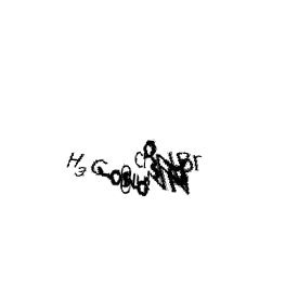 CCc1ccc(S(=O)(=O)NCc2cccc(CNc3cc(-c4ccccc4Cl)nc4c(Br)cnn34)c2)cc1